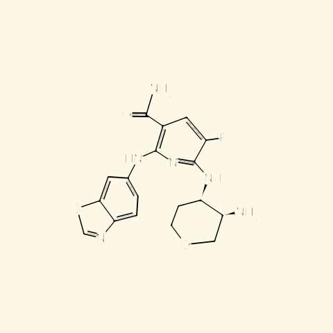 NC(=O)c1cc(F)c(N[C@@H]2CCOC[C@@H]2N)nc1Nc1ccc2ncsc2c1